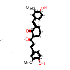 COc1cc(/C=C/C(=O)C2CCC/C(=C\c3ccc(O)c(OC)c3)C2=O)ccc1O